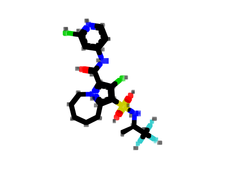 C[C@@H](NS(=O)(=O)c1c(Cl)c(C(=O)Nc2ccnc(Cl)c2)n2c1CCCCC2)C(F)(F)F